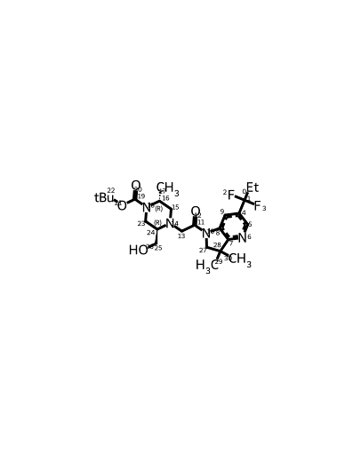 CCC(F)(F)c1cnc2c(c1)N(C(=O)CN1C[C@@H](C)N(C(=O)OC(C)(C)C)C[C@@H]1CO)CC2(C)C